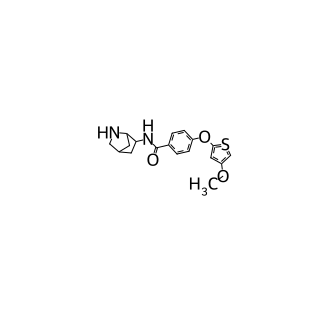 COc1csc(Oc2ccc(C(=O)NC3CC4CNC3C4)cc2)c1